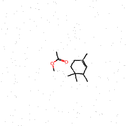 CC1=CC(C)C(C)(C)CC1.COC(C)=O